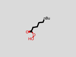 CCCCCCCCC(=O)OO